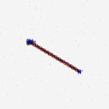 CCOCc1nc2c(N)nc3ccccc3c2n1CC(C)(C)OCCOCCOCCOCCOCCOCCOCCOCCOCCOCCOCCOCCOCCOCCOCCOCCOCCOCCOCCOCCOCCOCCOCCOCCN=[N+]=[N-]